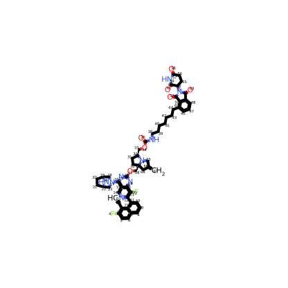 C#Cc1c(F)ccc2cccc(-c3ncc4c(N5CC6CCC(C5)N6)nc(OC[C@@]56CC[C@@H](COC(=O)NCCCCCCCc7cccc8c7C(=O)N(C7CCC(=O)NC7=O)C8=O)N5CC(=C)C6)nc4c3F)c12